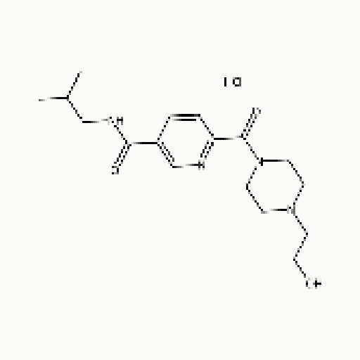 CC(C)CNC(=O)c1ccc(C(=O)N2CCN(CCO)CC2)nc1.Cl